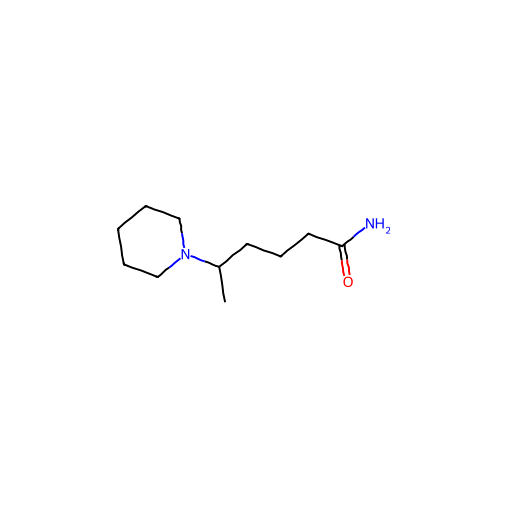 CC(CCCC(N)=O)N1CCCCC1